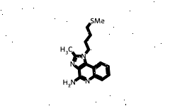 CSCCCCn1c(C)nc2c(N)nc3ccccc3c21